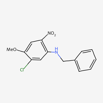 COc1cc([N+](=O)[O-])c(NCc2ccccc2)cc1Cl